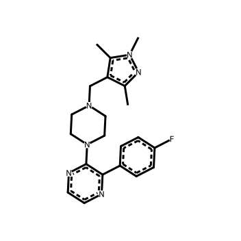 Cc1nn(C)c(C)c1CN1CCN(c2nccnc2-c2ccc(F)cc2)CC1